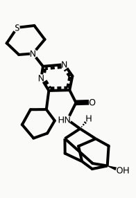 O=C(N[C@H]1C2CC3CC1C[C@@](O)(C3)C2)c1cnc(N2CCSCC2)nc1C1CCCCC1